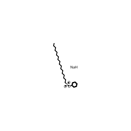 CCCCCCCCCCCCCCCCCCS(=O)(=O)Oc1ccccc1.[NaH]